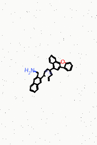 C=C/C=C(\C=C/C(C)c1cc2ccccc2cc1CN)c1cc2c3ccccc3oc2c2ccccc12